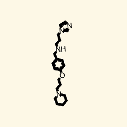 c1cn(CCCNCc2ccc(OCCCN3CCCCC3)cc2)cn1